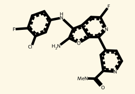 CNC(=O)c1cc(-c2nc(F)cc3c(Nc4ccc(F)c(Cl)c4)c(N)oc23)ccn1